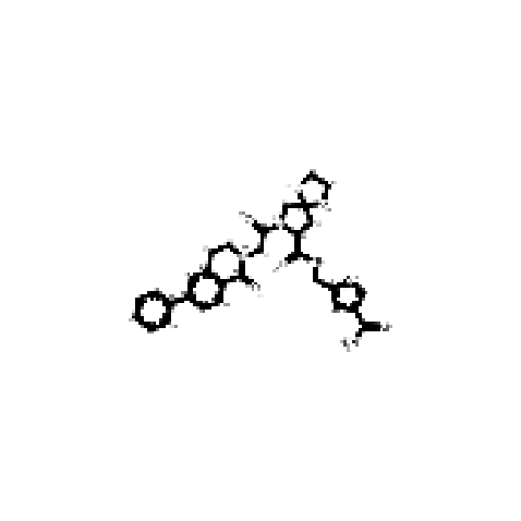 N=C(N)c1csc(CNC(=O)C2CC3(CN2C(=O)CN2CCc4cc(-c5ccccc5)ccc4C2=O)OCCO3)c1